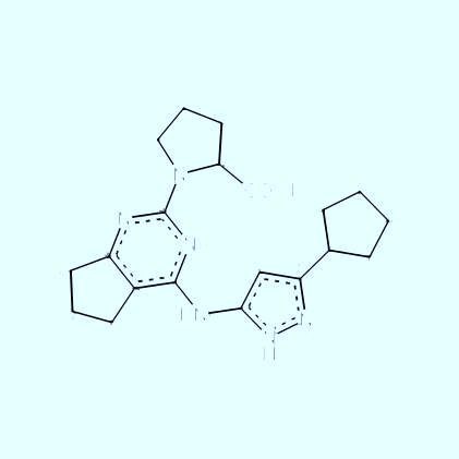 O=C(O)C1CCCN1c1nc2c(c(Nc3cc(C4CCCC4)n[nH]3)n1)CCC2